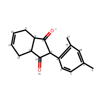 Cc1ccc(C2C(=O)C3CC=CCC3C2=O)c(C)c1